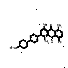 CCCCCC1CCC(c2ccc(-c3cc(O)c4c(c3N)C(=O)c3c(O)ccc(N)c3C4=O)cc2)CC1